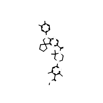 COC(=O)c1c(C)cc(N2CCN(C(=O)c3cnc4c(n3)C3(CCCC3)CN4c3ccc(F)c(F)c3)C(C)(C)C2)nc1C